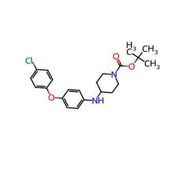 CC(C)(C)OC(=O)N1CCC(Nc2ccc(Oc3ccc(Cl)cc3)cc2)CC1